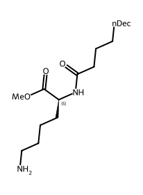 CCCCCCCCCCCCCC(=O)N[C@@H](CCCCN)C(=O)OC